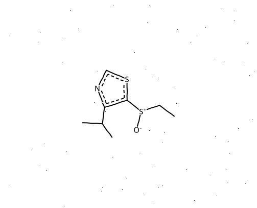 CC[S+]([O-])c1scnc1C(C)C